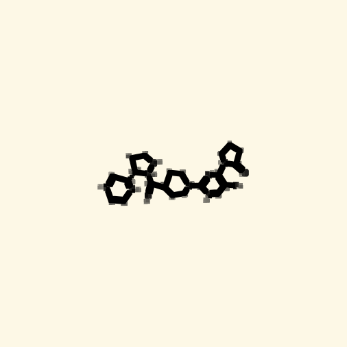 O=C1CCCN1c1nc(N2CCC(C(=O)N3OCC[C@H]3c3cnccn3)CC2)ncc1F